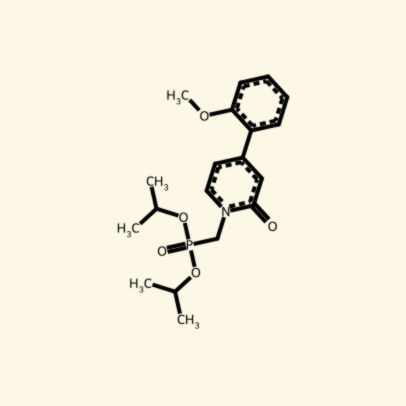 COc1ccccc1-c1ccn(CP(=O)(OC(C)C)OC(C)C)c(=O)c1